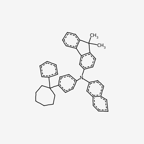 CC1(C)c2ccccc2-c2cc(N(c3ccc(C4(c5ccccc5)CCCCCC4)cc3)c3ccc4ccccc4c3)ccc21